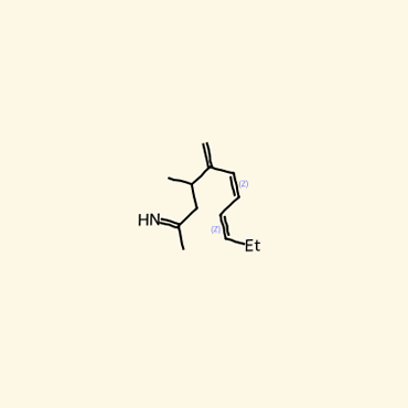 C=C(/C=C\C=C/CC)C(C)CC(C)=N